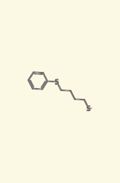 [S]CCCCSc1ccccc1